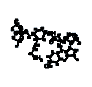 Cc1sc2c(c1C)C(c1ccc(Cl)cc1)=N[C@@H](CC(=O)Nc1ccc(COP(=O)(OC(C)C)OC(C)C)c(C#CCN)c1)c1nnc(C)n1-2